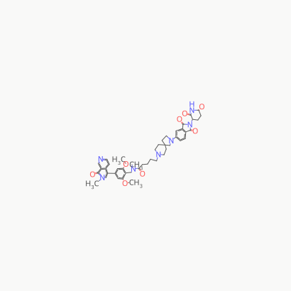 COc1cc(-c2cn(C)c(=O)c3cnccc23)cc(OC)c1CN(C)C(=O)CCCCN1CCC2(CC1)CCN(c1ccc3c(c1)C(=O)N(C1CCC(=O)NC1=O)C3=O)C2